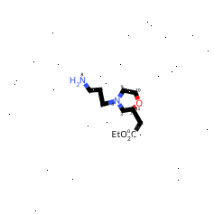 CCOC(=O)CC1CN(CCCN)CCO1